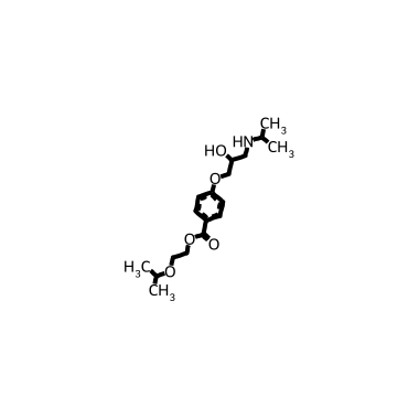 CC(C)NCC(O)COc1ccc(C(=O)OCCOC(C)C)cc1